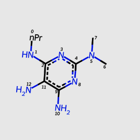 CCCNc1nc(N(C)C)nc(N)c1N